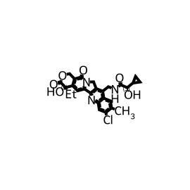 CC[C@@]1(O)C(=O)OCc2c1cc1n(c2=O)Cc2c-1nc1cc(Cl)c(C)cc1c2CNC(=O)[C@@H](O)C1CC1